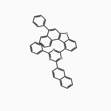 c1ccc(-c2nc(-c3ccc4ccccc4c3)nc(-c3cccc4oc5cc(-c6ccccc6)c6ccccc6c5c34)n2)cc1